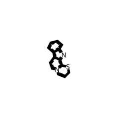 C1=Cn2ccc3c4ccccc4nc-3c2SC1